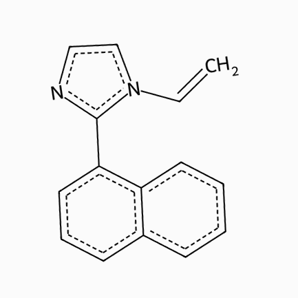 C=Cn1ccnc1-c1cccc2ccccc12